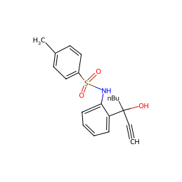 C#CC(O)(CCCC)c1ccccc1NS(=O)(=O)c1ccc(C)cc1